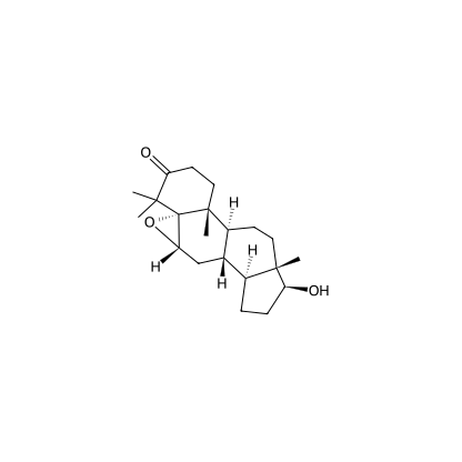 CC1(C)C(=O)CC[C@]2(C)[C@H]3CC[C@]4(C)[C@@H](O)CC[C@H]4[C@@H]3C[C@@H]3O[C@]312